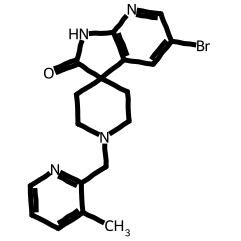 Cc1cccnc1CN1CCC2(CC1)C(=O)Nc1ncc(Br)cc12